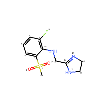 CS(=O)(=O)c1cccc(F)c1NCC1=NCCN1